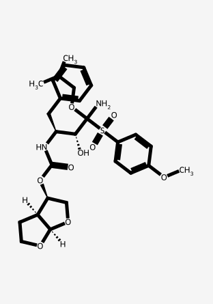 COc1ccc(S(=O)(=O)C(N)(OCC(C)C)[C@H](O)[C@H](Cc2ccccc2)NC(=O)O[C@H]2CO[C@H]3OCC[C@H]32)cc1